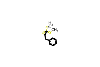 CSC1(SC)SC1Cc1ccccc1